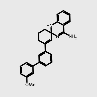 COc1cccc(-c2cccc(C3=CC4(CCC3)N=C(N)c3ccccc3N4)c2)c1